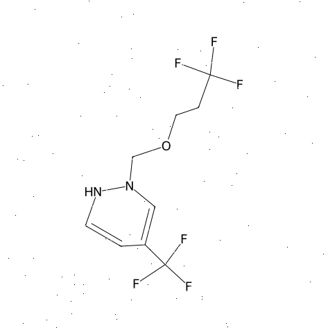 FC(F)(F)CCOCN1C=C(C(F)(F)F)C=CN1